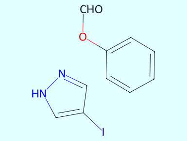 Ic1cn[nH]c1.O=COc1ccccc1